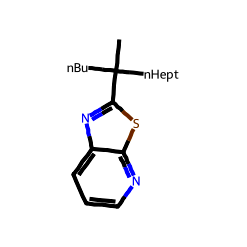 CCCCCCCC(C)(CCCC)c1nc2cccnc2s1